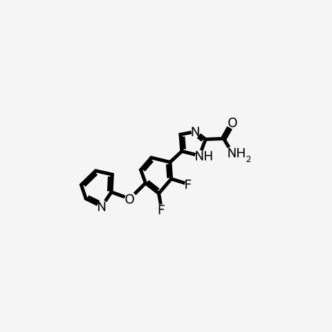 NC(=O)c1ncc(-c2ccc(Oc3ccccn3)c(F)c2F)[nH]1